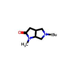 CN1C(=O)CC2CN(C(C)(C)C)CC21